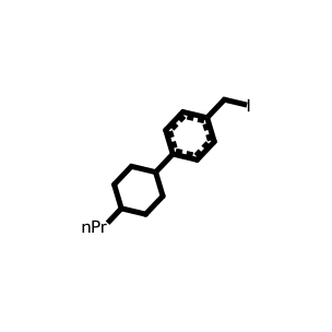 CCCC1CCC(c2ccc(CI)cc2)CC1